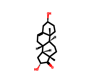 C[C@]12CC[C@H](O)CC1=CC[C@@H]1[C@@H]2CC[C@]2(C)C(=O)[C@H](O)C[C@@H]12